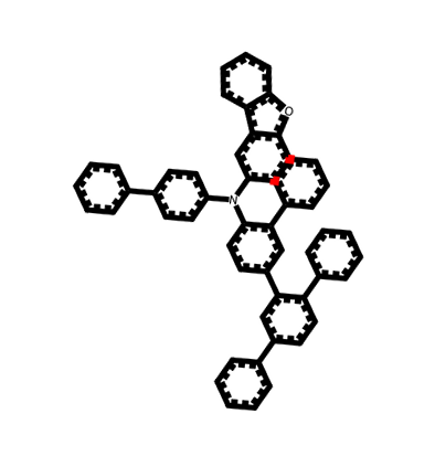 c1ccc(-c2ccc(N(c3ccc4oc5ccccc5c4c3)c3ccc(-c4cc(-c5ccccc5)ccc4-c4ccccc4)cc3-c3ccccc3)cc2)cc1